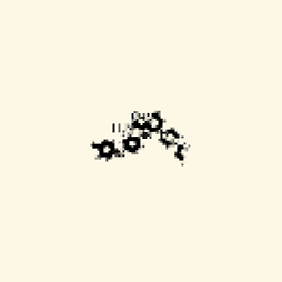 C=CC(=O)N1CCN([C@H]2CCNc3c2nn(-c2ccc(Oc4ccc(C)cc4)cc2)c3C(N)=O)CC1